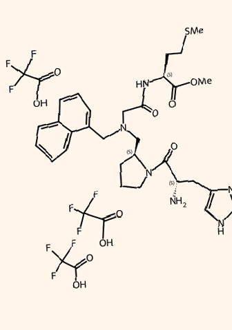 COC(=O)[C@H](CCSC)NC(=O)CN(Cc1cccc2ccccc12)C[C@@H]1CCCN1C(=O)[C@@H](N)Cc1c[nH]cn1.O=C(O)C(F)(F)F.O=C(O)C(F)(F)F.O=C(O)C(F)(F)F